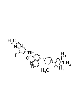 CC[C@H]1CN(c2ccc(C(=O)Nc3cc(F)c4nc(C)cn4c3)c3nnccc23)CCN1C(=O)OC(C)(C)C